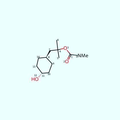 CNC(=O)OC(C)(C)C[C@H]1CC[C@H](O)CC1